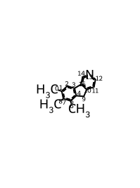 Cc1cc2c(c(C)c1C)Cc1ccncc1-2